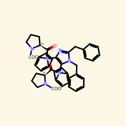 O=C([O-])N1CCC[C@H]1C(=O)[N+]1(c2nc(Cc3ccccc3)n(Cc3ccccc3)c2[N+]2(C(=O)[C@@H]3CCCN3C(=O)[O-])C3=CC=C2C=C3)C2=CC=C1C=C2